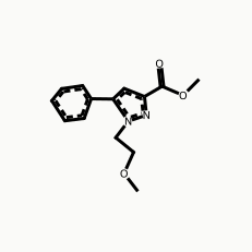 COCCn1nc(C(=O)OC)cc1-c1ccccc1